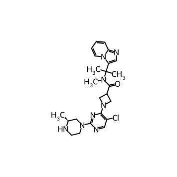 C[C@H]1CN(c2ncc(Cl)c(N3CC(C(=O)N(C)C(C)(C)c4cnc5ccccn45)C3)n2)CCN1